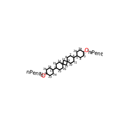 CCCCCOC1CCC(C2CCC3(CC2)CC2(CCC(C4CCC(OCCCCC)CC4)CC2)C3)CC1